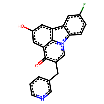 O=c1c(Cc2cccnc2)cn2c3ccc(F)cc3c3cc(O)cc1c32